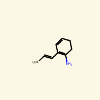 NC1=C(/C=C/C=O)C=CCC1